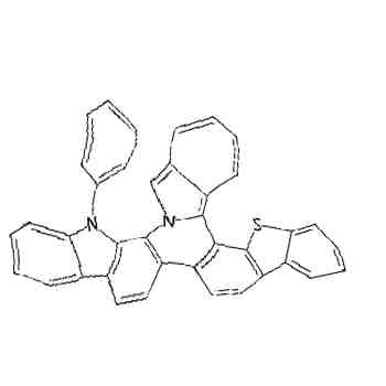 c1ccc(-n2c3ccccc3c3ccc4c5ccc6c7ccccc7sc6c5c5c6ccccc6cn5c4c32)cc1